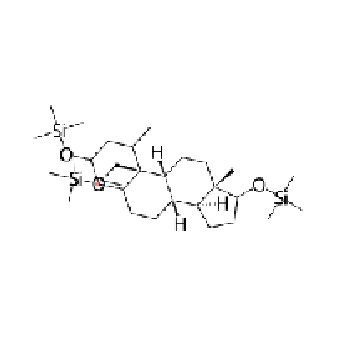 CC1CC(O[Si](C)(C)C)C=C2CC[C@@H]3[C@@H](CC[C@]4(C)C(O[Si](C)(C)C)CC[C@@H]34)[C@]21CO[Si](C)(C)C